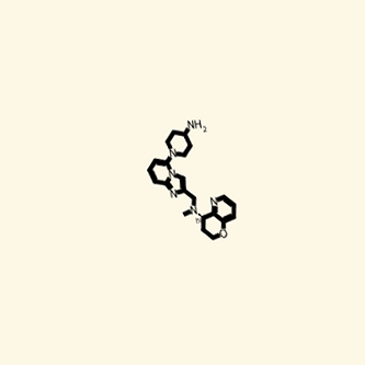 CN(Cc1cn2c(N3CCC(N)CC3)cccc2n1)[C@H]1CCOc2cccnc21